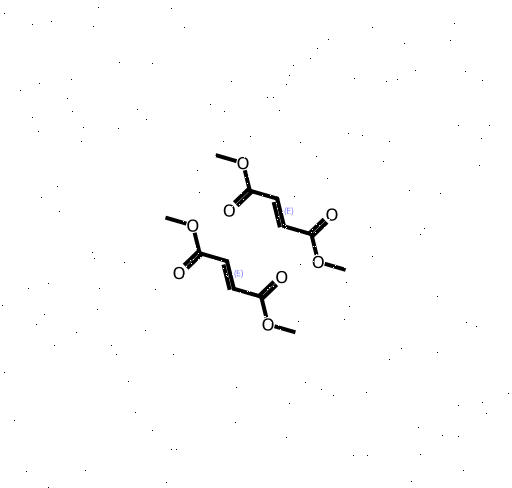 COC(=O)/C=C/C(=O)OC.COC(=O)/C=C/C(=O)OC